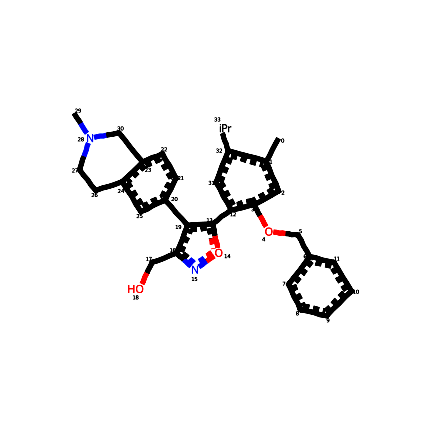 Cc1cc(OCc2ccccc2)c(-c2onc(CO)c2-c2ccc3c(c2)CCN(C)C3)cc1C(C)C